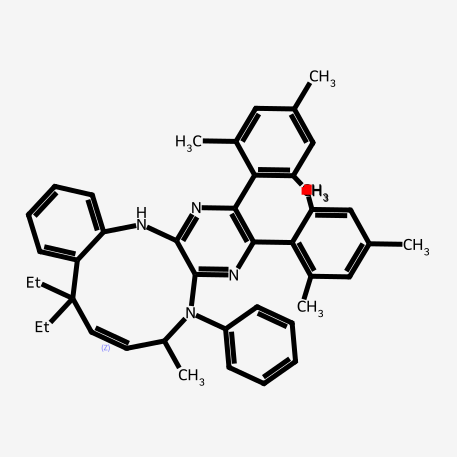 CCC1(CC)/C=C\C(C)N(c2ccccc2)c2nc(-c3c(C)cc(C)cc3C)c(-c3c(C)cc(C)cc3C)nc2Nc2ccccc21